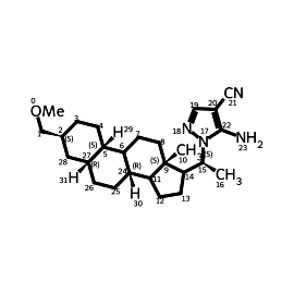 COC[C@H]1CC[C@@H]2C3CC[C@@]4(C)C(CCC4[C@H](C)n4ncc(C#N)c4N)[C@@H]3CC[C@@H]2C1